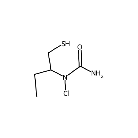 CCC(CS)N(Cl)C(N)=O